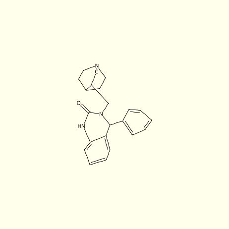 O=C1Nc2ccccc2C(c2ccccc2)N1CC1CN2CCC1CC2